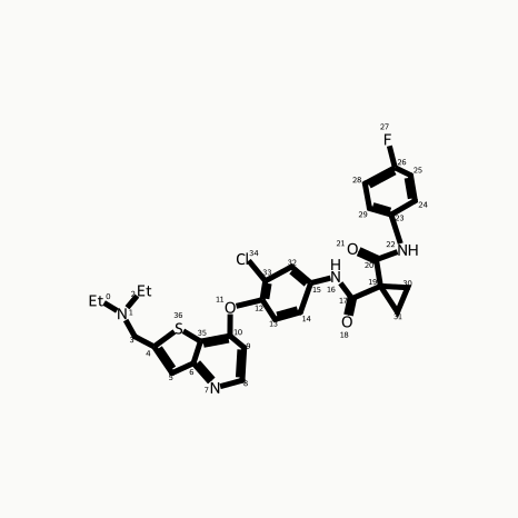 CCN(CC)Cc1cc2nccc(Oc3ccc(NC(=O)C4(C(=O)Nc5ccc(F)cc5)CC4)cc3Cl)c2s1